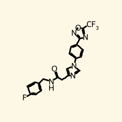 O=C(Cc1cn(-c2ccc(-c3noc(C(F)(F)F)n3)cc2)cn1)NCc1ccc(F)cc1